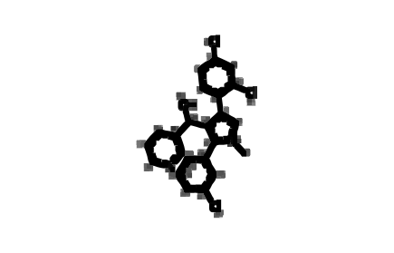 Cn1cc(-c2ccc(Cl)cc2Cl)c(C(O)c2cccnc2)c1-c1cccc(Cl)c1